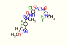 COCCn1ncc(-c2ccc(-c3cnc(C(=O)Nc4ccc(C(=O)N5CCN(C(=O)C6CC[N+](C)(CC(F)F)CC6)CC5)c(Cl)c4)n3C)c(F)c2F)c1C